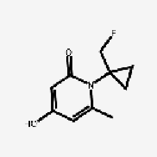 Cc1cc(O)cc(=O)n1C1(CF)CC1